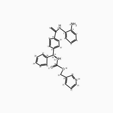 C=C(Nc1ccccc1N)c1ccc([C@@H](NC(=O)OCc2cccnc2)c2ccccc2)cc1